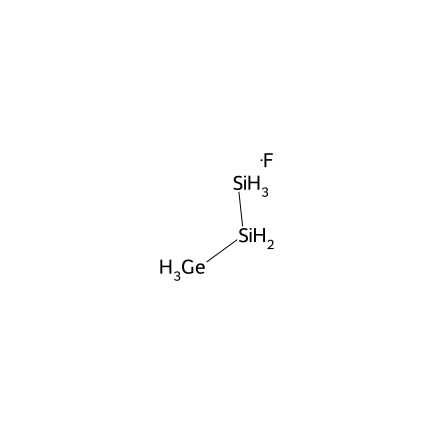 [F].[SiH3][SiH2][GeH3]